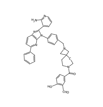 Nc1ncccc1-c1nc2ccc(-c3ccccc3)nc2n1-c1ccc(CN2CC3(CCN(C(=O)c4ccc(O)c(C=O)c4)CC3)C2)cc1